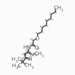 CCCCCCCCCOCC(=O)Nc1cc(C(C)(C)C)nn1C